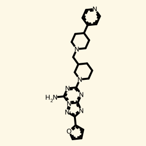 Nc1nc(N2CCCC(CN3CCC(c4ccncc4)CC3)C2)nc2nc(-c3ccco3)nn12